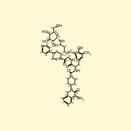 Cc1cc(C[C@@H](NC(=O)N2CCC(N3Cc4ccccc4N(N)C3=O)CC2)C(=O)N[C@@H](CCCCN[C@H]2OC(CO)[C@H](O)C(O)[C@H]2O)C(=O)N2CCN(c3ccncc3)CC2)cc(Br)c1O